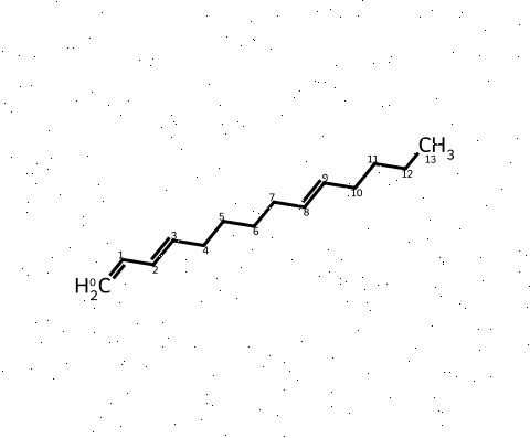 C=CC=CCCCCC=CCCCC